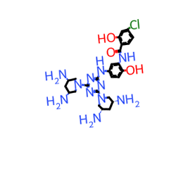 N[C@@H]1C[C@H](N)CN(c2nc(Nc3ccc(O)c(NC(=O)c4ccc(Cl)cc4O)c3)nc(N3C[C@H](N)C[C@H](N)C3)n2)C1